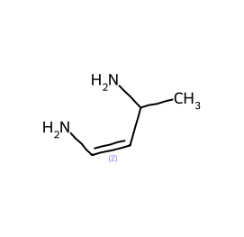 CC(N)/C=C\N